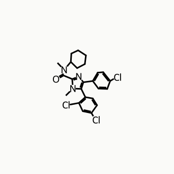 CN(C(=O)c1nc(-c2ccc(Cl)cc2)c(-c2ccc(Cl)cc2Cl)n1C)C1CCCCC1